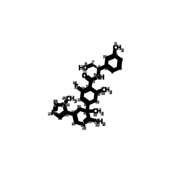 Cc1cccc([C@@H](CO)NC(=O)C2=C(F)C=C(C3(C)CC(c4cnnn4C)=CN=C3N)CC2C)c1